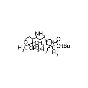 CC(C)(C)OC(=O)N1C[C@@H](CCC(N)C2CCOC(C)(C)C2(C)C)CC1(C)C